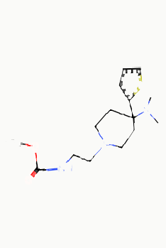 CCCCOC(=O)NCCN1CCC(c2cccs2)(N(C)C)CC1